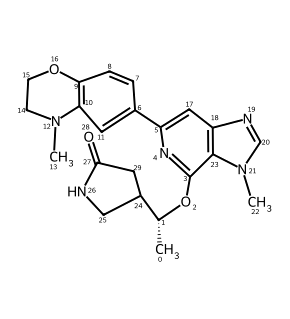 C[C@@H](Oc1nc(-c2ccc3c(c2)N(C)CCO3)cc2ncn(C)c12)C1CNC(=O)C1